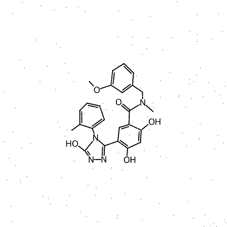 COc1cccc(CN(C)C(=O)c2cc(-c3nnc(O)n3-c3ccccc3C)c(O)cc2O)c1